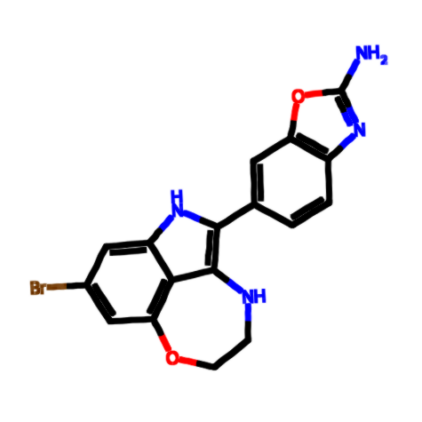 Nc1nc2ccc(-c3[nH]c4cc(Br)cc5c4c3NCCO5)cc2o1